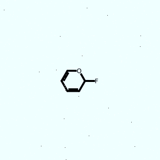 FC1C=CC=CO1